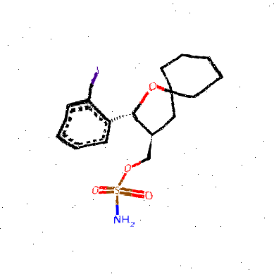 NS(=O)(=O)OC[C@@H]1CC2(CCCCC2)O[C@H]1c1ccccc1I